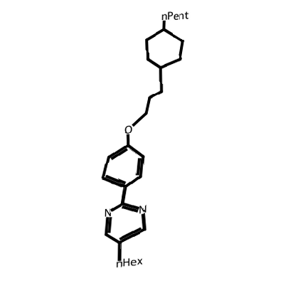 CCCCCCc1cnc(-c2ccc(OCCCC3CCC(CCCCC)CC3)cc2)nc1